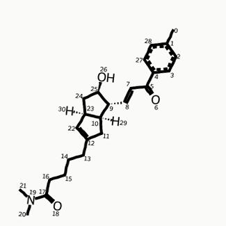 Cc1ccc(C(=O)/C=C/[C@@H]2[C@H]3CC(CCCCC(=O)N(C)C)=C[C@H]3C[C@H]2O)cc1